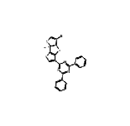 BrC1=CS[C@@H]2c3scc(-c4nc(-c5ccccc5)nc(-c5ccccc5)n4)c3SC12